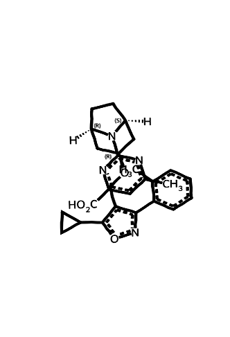 Cc1cc(C(=O)O)nc(N2[C@@H]3CC[C@H]2C[C@@H](OCc2c(-c4ccccc4C)noc2C2CC2)C3)n1